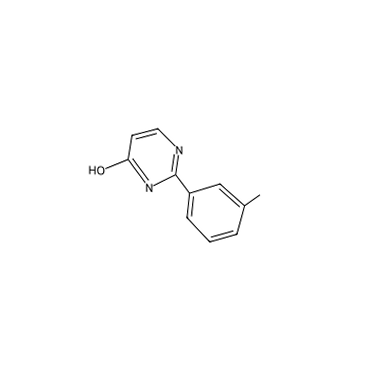 Cc1cccc(-c2nccc(O)n2)c1